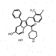 Cc1c(F)cccc1Cc1c(-c2ccccc2)c2cc(O)cnn2c1C(=O)N1CCNCC1.Cl